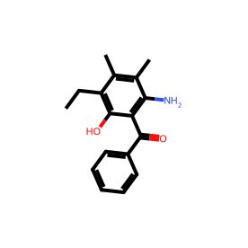 CCc1c(C)c(C)c(N)c(C(=O)c2ccccc2)c1O